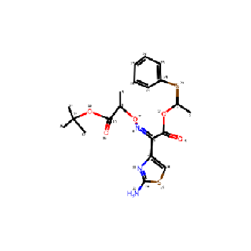 CC(OC(=O)C(=NOC(C)C(=O)OC(C)(C)C)c1csc(N)n1)Sc1ccccc1